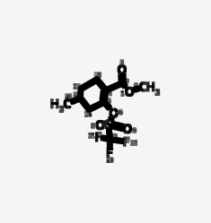 COC(=O)C1=C(OS(=O)(=O)C(F)(F)F)CC(C)CC1